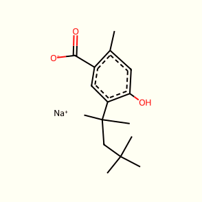 Cc1cc(O)c(C(C)(C)CC(C)(C)C)cc1C(=O)[O-].[Na+]